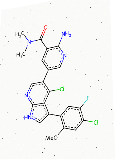 COc1cc(Cl)c(F)cc1-c1c[nH]c2ncc(-c3cnc(N)c(C(=O)N(C)C)c3)c(Cl)c12